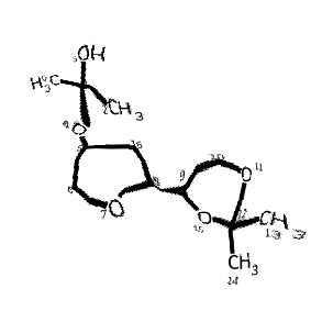 CC(C)(O)OC1CO[C@H](C2COC(C)(C)O2)C1